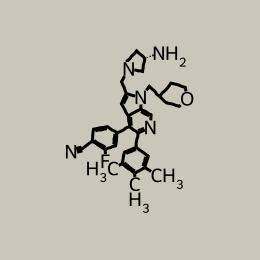 Cc1cc(-c2ncc3c(cc(CN4CC[C@H](N)C4)n3CC3CCOCC3)c2-c2ccc(C#N)c(F)c2)cc(C)c1C